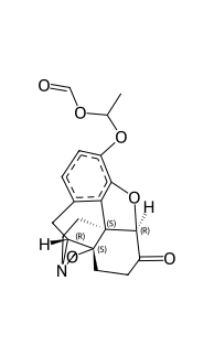 CC(OC=O)Oc1ccc2c3c1O[C@H]1C(=O)CC[C@]45OCN(CC[C@]314)[C@@H]5C2